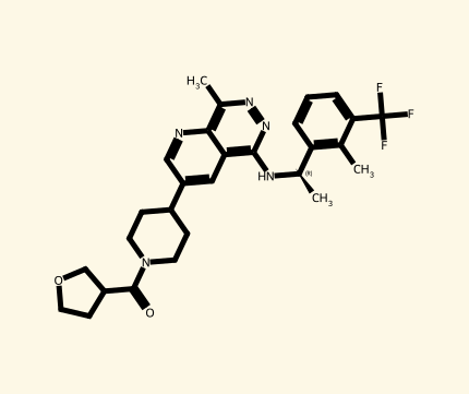 Cc1c([C@@H](C)Nc2nnc(C)c3ncc(C4CCN(C(=O)C5CCOC5)CC4)cc23)cccc1C(F)(F)F